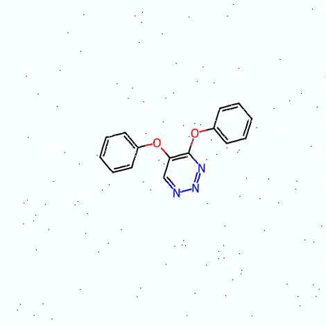 c1ccc(Oc2cnnnc2Oc2ccccc2)cc1